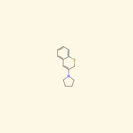 C1=C(N2CCCC2)CSc2ccccc21